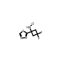 FC1(F)CC(NCl)(c2nncs2)C1